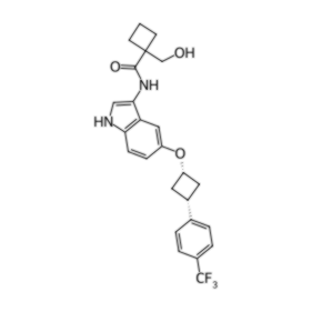 O=C(Nc1c[nH]c2ccc(O[C@H]3C[C@@H](c4ccc(C(F)(F)F)cc4)C3)cc12)C1(CO)CCC1